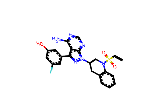 C=CS(=O)(=O)N1CC(n2nc(-c3cc(O)cc(F)c3)c3c(N)ncnc32)Cc2ccccc21